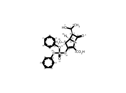 CC(O)[C@H]1C(=O)N2C(C(=O)O)=C(OP(=O)(Oc3ccccc3)Oc3ccccc3)[C@H](C)[C@@H]12